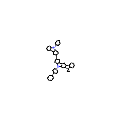 c1ccc(-c2ccc(-n3c4ccc(-c5ccc6c(c5)c5ccccc5n6-c5ccccc5)cc4c4cc5c(cc43)C3(CC3)c3ccccc3-5)cc2)cc1